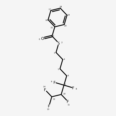 O=C(SCCCCC(F)(F)C(F)C(F)F)c1ccccc1